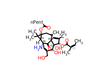 C/C=C(/C)C(=O)O[C@H]1C(C)=C[C@]23C(=O)[C@@](N)(C=C(CO)[C@@H](O)[C@]12O)[C@@H]1C(C)(C)[C@]1(OC(=O)CCCCC)C[C@H]3C